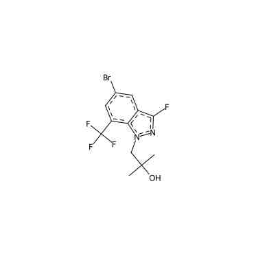 CC(C)(O)Cn1nc(F)c2cc(Br)cc(C(F)(F)F)c21